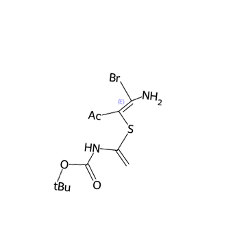 C=C(NC(=O)OC(C)(C)C)S/C(C(C)=O)=C(\N)Br